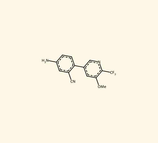 COc1cc(-c2ccc(N)cc2C#N)cnc1C(F)(F)F